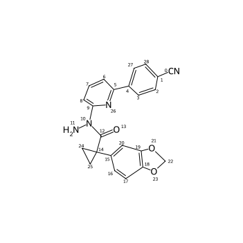 N#Cc1ccc(-c2cccc(N(N)C(=O)C3(c4ccc5c(c4)OCO5)CC3)n2)cc1